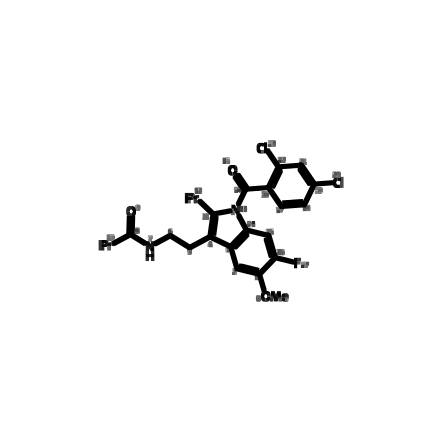 COc1cc2c(CCNC(=O)C(C)C)c(C(C)C)n(C(=O)c3ccc(Cl)cc3Cl)c2cc1F